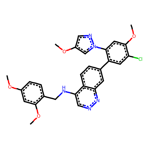 COc1ccc(CNc2cnnc3cc(-c4cc(Cl)c(OC)cc4-n4cc(OC)cn4)ccc23)c(OC)c1